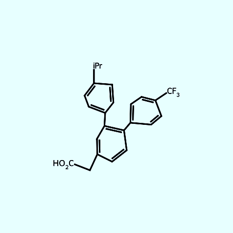 CC(C)c1ccc(-c2cc(CC(=O)O)ccc2-c2ccc(C(F)(F)F)cc2)cc1